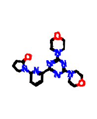 O=C1CCCN1c1cccc(-c2nc(N3CCOCC3)nc(N3CCOCC3)n2)n1